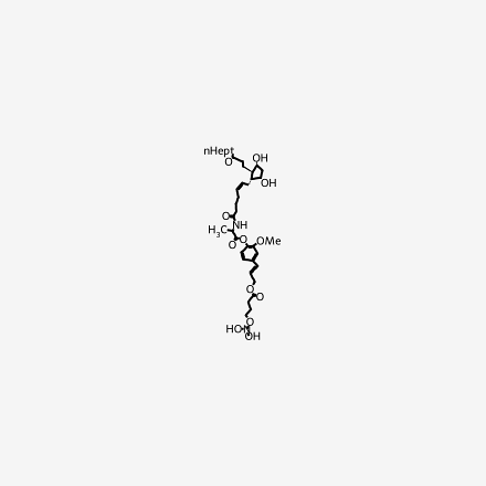 CCCCCCCC(=O)CC[C@@H]1[C@@H](C/C=C\CCCC(=O)NC(C)C(=O)Oc2ccc(/C=C/COC(=O)CCCON(O)O)cc2OC)[C@@H](O)C[C@H]1O